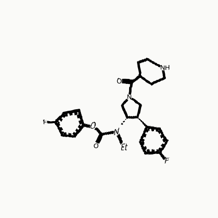 CCN(C(=O)Oc1ccc(F)cc1)[C@@H]1CN(C(=O)C2CCNCC2)C[C@H]1c1ccc(F)cc1